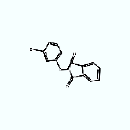 O=C1c2ccccc2C(=O)N1Oc1cccc(Br)c1